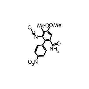 COc1cc(C(N)=O)c(-c2ccc([N+](=O)[O-])cc2)c(N=C=O)c1OC